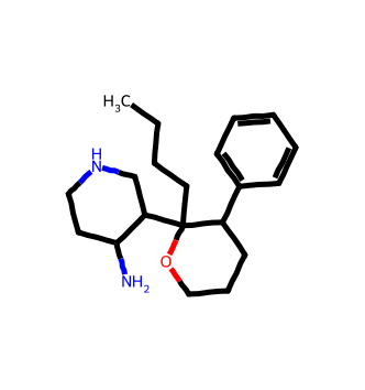 CCCCC1(C2CNCCC2N)OCCCC1c1ccccc1